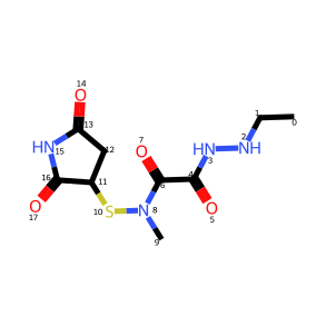 CCNNC(=O)C(=O)N(C)SC1CC(=O)NC1=O